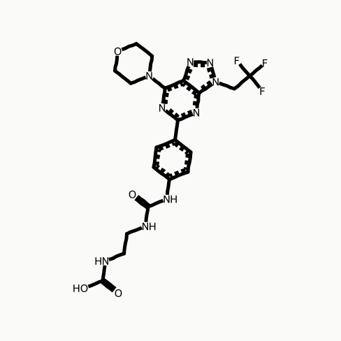 O=C(O)NCCNC(=O)Nc1ccc(-c2nc(N3CCOCC3)c3nnn(CC(F)(F)F)c3n2)cc1